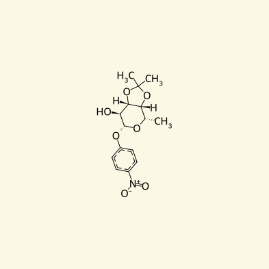 C[C@@H]1O[C@H](Oc2ccc([N+](=O)[O-])cc2)[C@@H](O)[C@@H]2OC(C)(C)O[C@@H]21